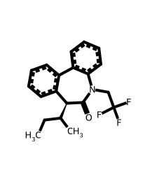 CCC(C)[C@@H]1C(=O)N(CC(F)(F)F)c2ccccc2-c2ccccc21